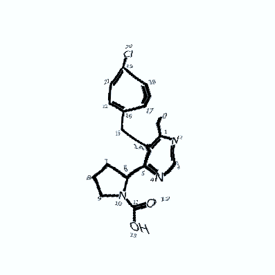 Cc1ncnc(C2CCCN2C(=O)O)c1Cc1ccc(Cl)cc1